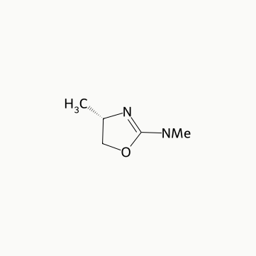 CNC1=N[C@@H](C)CO1